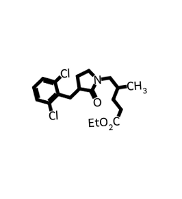 CCOC(=O)CCC(C)CN1CCC(Cc2c(Cl)cccc2Cl)C1=O